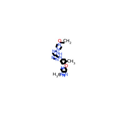 C=CC(=O)N1CCN(c2ncc3ncnc(Nc4ccc(Oc5cc6nnn(C)c6cn5)c(C)c4)c3n2)CC1